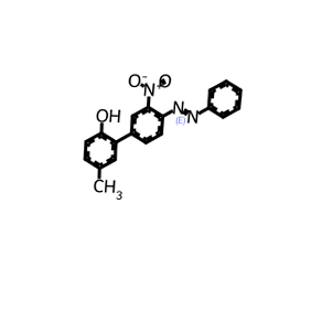 Cc1ccc(O)c(-c2ccc(/N=N/c3ccccc3)c([N+](=O)[O-])c2)c1